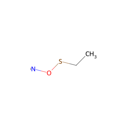 CCSO[N]